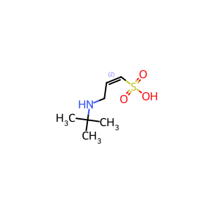 CC(C)(C)NC/C=C\S(=O)(=O)O